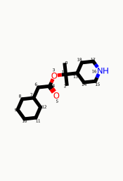 CC(C)(OC(=O)CC1CCCCC1)C1CCNCC1